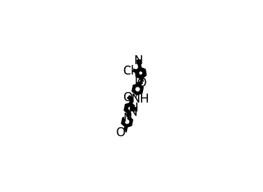 N#Cc1ccc(O[C@]2(I)CC[C@H](NC(=O)c3ccc(N4CCC(C=O)CC4)nn3)CC2)cc1Cl